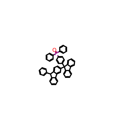 O=P(c1ccccc1)(c1ccccc1)c1ccc(C2(c3ccc4c(c3)-c3ccccc3C4c3ccccc3)c3ccccc3-c3ccccc32)cc1